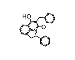 O=c1c(Cc2ccccc2)c(O)c2cccc3c2n1C(c1ccccc1)C3